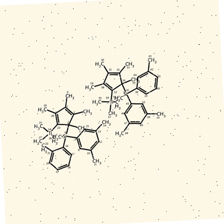 CC1=C(C)C(C)([Si](C)(c2cc(C)cc(C)c2)c2ccccc2C)[C]([Ti]([CH3])([CH3])[CH3])=C1C.CC1=C(C)C(C)([Si](C)(c2cccc(C)c2)c2cc(C)cc(C)c2)[C]([Ti]([CH3])([CH3])[CH3])=C1C